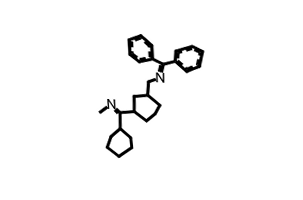 C/N=C(\C1CCCCC1)C1CCCC(CN=C(c2ccccc2)c2ccccc2)C1